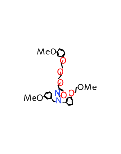 COCCOc1cccc(CN(Cc2cccc(OC)c2)c2nc(COCCOCCOc3cccc(OC)c3)co2)c1